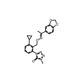 CC(=NOCc1c(C2CC2)cccc1-n1nnn(C)c1=O)c1ccc2c(c1)OCO2